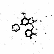 Cc1cccc(Cn2c(C)nc3c(N=O)cc(N4CCOCC4)cc32)c1Cl